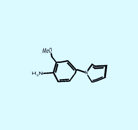 COc1cc(-n2cccc2)ccc1N